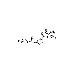 CCOC(=O)C=C1CCN(C(=O)OC(C)(C)C)C1